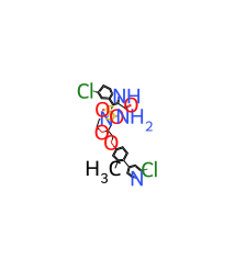 Cc1cc(OCC2CN(S(=O)(=O)c3c(C(N)=O)[nH]c4ccc(Cl)cc34)CCO2)ccc1-c1ccnc(Cl)c1